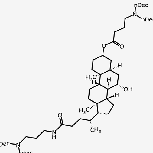 CCCCCCCCCCN(CCCCCCCCCC)CCCNC(=O)CC[C@@H](C)[C@H]1CC[C@H]2[C@@H]3[C@@H](O)C[C@@H]4C[C@H](OC(=O)CCCN(CCCCCCCCCC)CCCCCCCCCC)CC[C@]4(C)[C@H]3CC[C@]12C